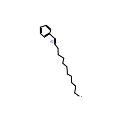 [CH2]CCCCCCCCCC/C=C/c1ccccc1